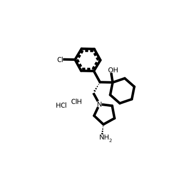 Cl.Cl.N[C@H]1CCN(C[C@H](c2cccc(Cl)c2)C2(O)CCCCC2)C1